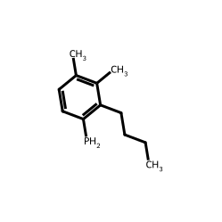 CCCCc1c(P)ccc(C)c1C